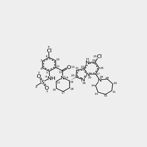 CS(=O)(=O)Nc1ccc(Cl)cc1C(=O)N1CCCC[C@H]1c1cc2nc(Cl)cc(N3CCCCCC3)n2n1